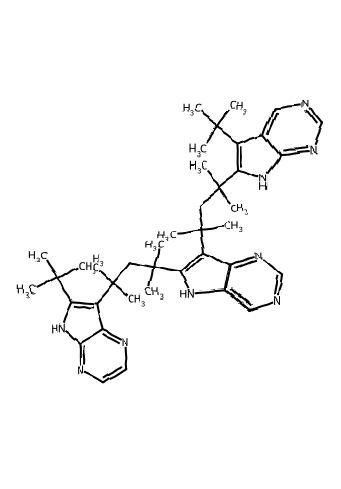 CC(C)(C)c1[nH]c2nccnc2c1C(C)(C)CC(C)(C)c1[nH]c2cncnc2c1C(C)(C)CC(C)(C)c1[nH]c2ncncc2c1C(C)(C)C